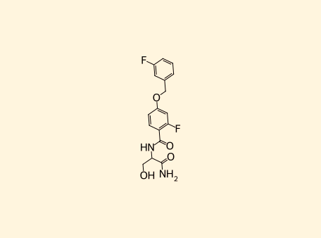 NC(=O)C(CO)NC(=O)c1ccc(OCc2cccc(F)c2)cc1F